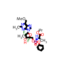 COCc1nc(C)nc2c1ncn2[C@@H]1O[C@](F)(COP(=O)(NC(C)C(=O)OC(C)C)Oc2ccccc2)[C@@H](O)[C@@]1(C)F